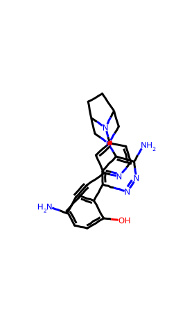 NCC#Cc1cc(N2C3CCC2CN(c2cc(-c4ccccc4O)nnc2N)C3)ccn1